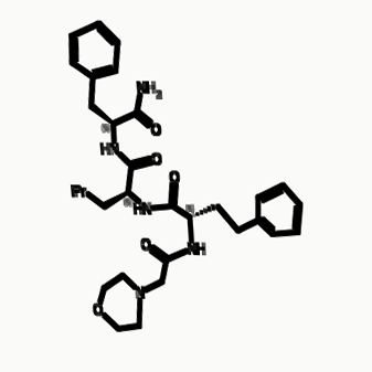 CC(C)C[C@H](NC(=O)[C@H](CCc1ccccc1)NC(=O)CN1CCOCC1)C(=O)N[C@@H](Cc1ccccc1)C(N)=O